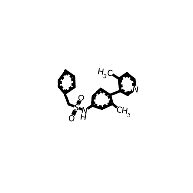 Cc1cc(NS(=O)(=O)Cc2ccccc2)ccc1-c1cnccc1C